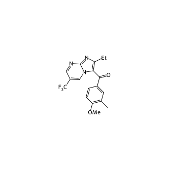 CCc1nc2ncc(C(F)(F)F)cn2c1C(=O)c1ccc(OC)c(C)c1